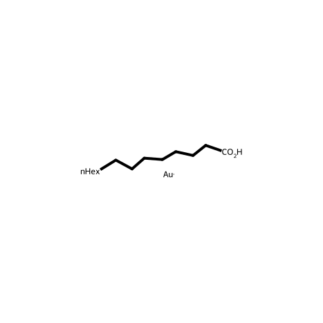 CCCCCCCCCCCCCC(=O)O.[Au]